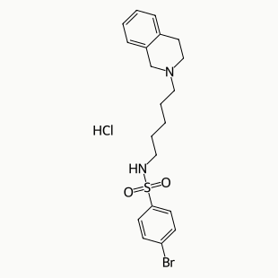 Cl.O=S(=O)(NCCCCCN1CCc2ccccc2C1)c1ccc(Br)cc1